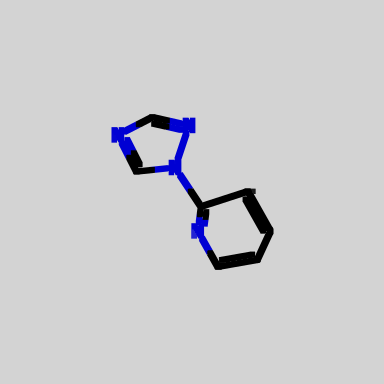 [c]1cccnc1-n1cncn1